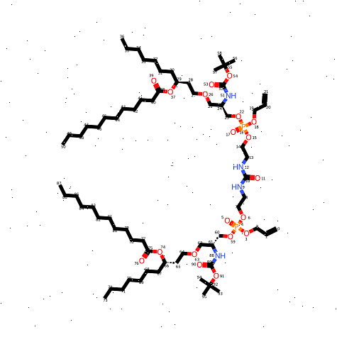 C=CCOP(=O)(OCCNC(=O)NCCOP(=O)(OCC=C)OC[C@@H](COCC[C@H](CCCCCCC)OC(=O)CCCCCCCCCCC)NC(=O)OC(C)(C)C)OC[C@@H](COCC[C@H](CCCCCCC)OC(=O)CCCCCCCCCCC)NC(=O)OC(C)(C)C